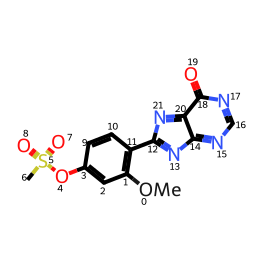 COc1cc(OS(C)(=O)=O)ccc1C1=NC2=NC=NC(=O)C2=N1